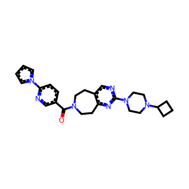 O=C(c1ccc(-n2cccc2)nc1)N1CCc2cnc(N3CCN(C4CCC4)CC3)nc2CC1